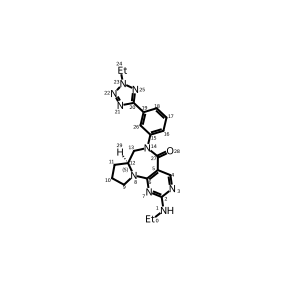 CCNc1ncc2c(n1)N1CCC[C@H]1CN(c1cccc(-c3nnn(CC)n3)c1)C2=O